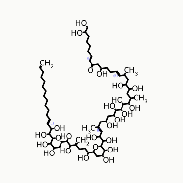 C=CCCCCCCCCCC/C=C/C(O)C(O)C1OC(C(O)C(O)C(=C)CCC(O)C2CC(O)C(O)C(C(O)C(O)/C=C(\C)CC(O)CC(O)C(O)C(O)C(O)C(O)C(C)CC(O)C(O)CC(C)/C=C/CCC(O)CC(=O)/C=C/CCCCC(O)CO)O2)CC(O)C1O